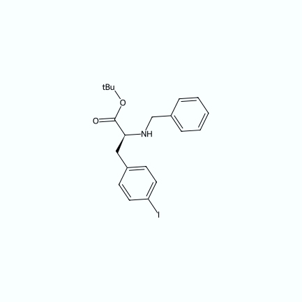 CC(C)(C)OC(=O)[C@H](Cc1ccc(I)cc1)NCc1ccccc1